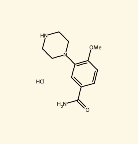 COc1ccc(C(N)=O)cc1N1CCNCC1.Cl